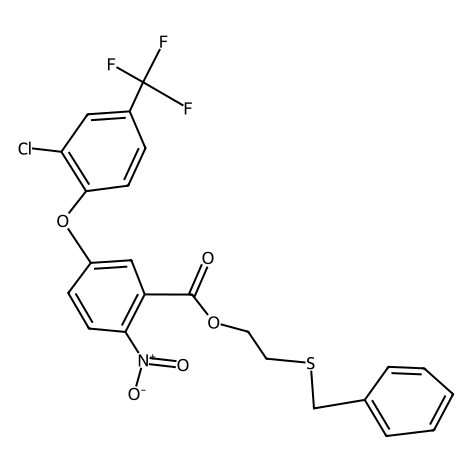 O=C(OCCSCc1ccccc1)c1cc(Oc2ccc(C(F)(F)F)cc2Cl)ccc1[N+](=O)[O-]